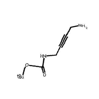 CC(C)(C)OC(=O)NCC#CCN